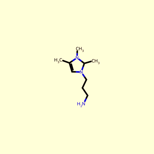 CC1=CN(CCCN)C(C)N1C